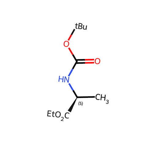 CCOC(=O)[C@H](C)NC(=O)OC(C)(C)C